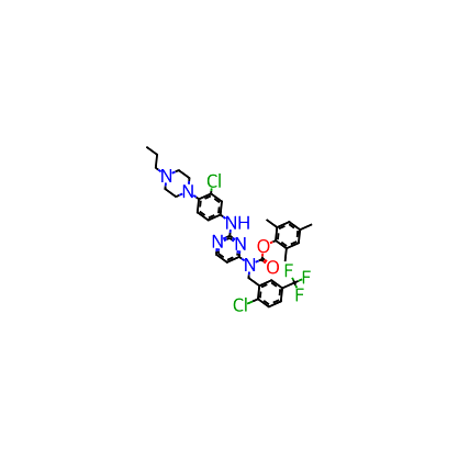 CCCN1CCN(c2ccc(Nc3nccc(N(Cc4cc(C(F)(F)F)ccc4Cl)C(=O)Oc4c(C)cc(C)cc4C)n3)cc2Cl)CC1